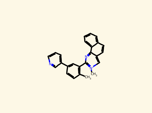 Cc1ccc(-c2cccnc2)cc1-c1nc2c(ccc3ccccc32)c[n+]1C